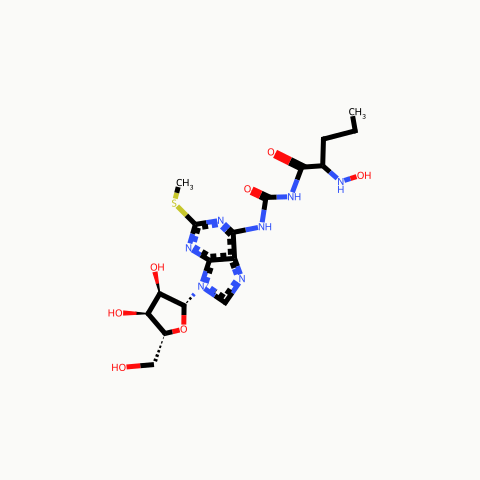 CCCC(NO)C(=O)NC(=O)Nc1nc(SC)nc2c1ncn2[C@@H]1O[C@H](CO)[C@@H](O)[C@H]1O